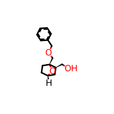 OC[C@H]1C[C@@H]2CC[C@@]1(COCc1ccccc1)O2